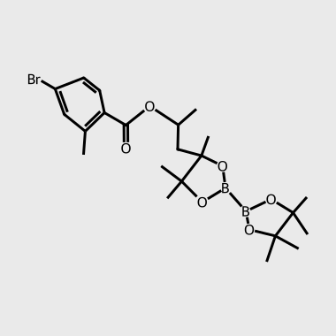 Cc1cc(Br)ccc1C(=O)OC(C)CC1(C)OB(B2OC(C)(C)C(C)(C)O2)OC1(C)C